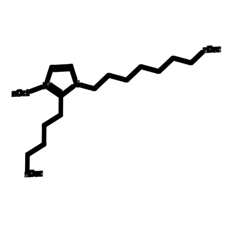 CCCCCCCCCCCCCCCCCn1cc[n+](CCCCCCCC)c1CCCCCCCCCCCCCC